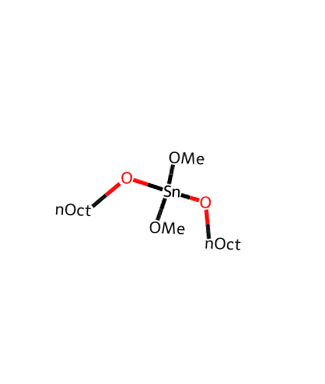 CCCCCCCC[O][Sn]([O]C)([O]C)[O]CCCCCCCC